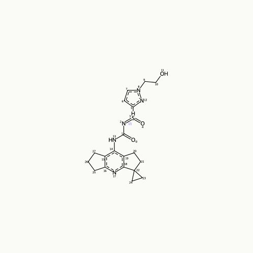 O=C(/N=[SH](=O)/c1ccn(CCO)n1)Nc1c2c(nc3c1CCC31CC1)CCC2